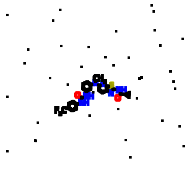 CN(c1cccc(NC(=O)Nc2ccc(C(F)(F)F)cc2)c1)c1ccc2nc(NC(=O)C3CC3)sc2n1